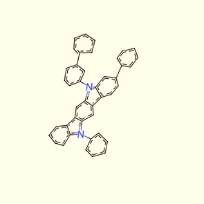 c1ccc(-c2cccc(-n3c4cc(-c5ccccc5)ccc4c4cc5c(cc43)c3ccccc3n5-c3ccccc3)c2)cc1